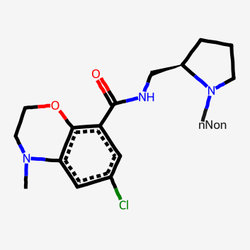 CCCCCCCCCN1CCC[C@@H]1CNC(=O)c1cc(Cl)cc2c1OCCN2C